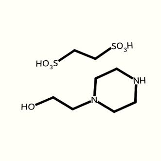 O=S(=O)(O)CCS(=O)(=O)O.OCCN1CCNCC1